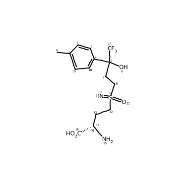 Cc1ccc(C(O)(CCS(=N)(=O)CC[C@H](N)C(=O)O)C(F)(F)F)cc1